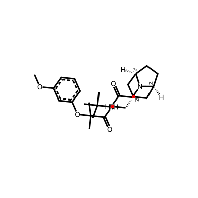 COc1cccc(OC(C)(C)C(=O)NC[C@@H]2C[C@H]3CC[C@@H](C2)N3CC(=O)NC(C)(C)C)c1